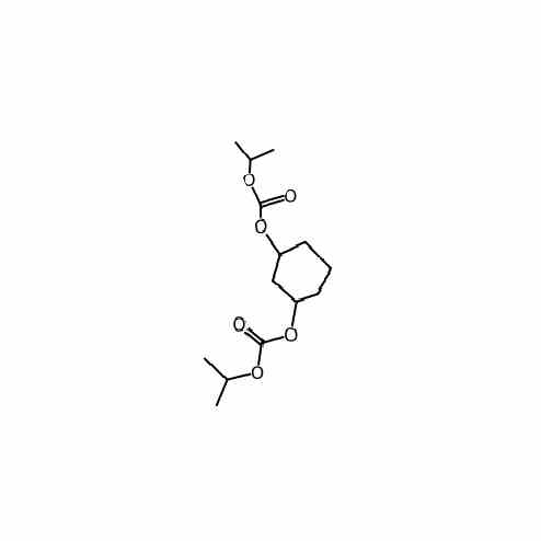 CC(C)OC(=O)OC1CCCC(OC(=O)OC(C)C)C1